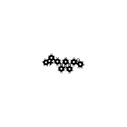 CC1(C)c2ccccc2-c2cccc(-c3ccc(N4c5ccccc5B5c6ccccc6N(c6ccc7oc8ccccc8c7c6)c6cccc4c65)cc3)c21